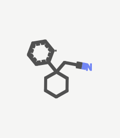 N#CCC1(c2[c]cccc2)CCCCC1